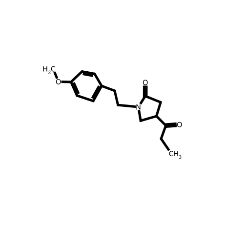 CCC(=O)C1CC(=O)N(CCc2ccc(OC)cc2)C1